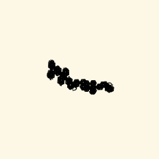 C1=C(c2ccc3c(c2)oc2ccc4cc(-c5c6ccccc6c(-c6ccc7c8ccccc8c8ccccc8c7c6)c6ccccc56)ccc4c23)c2ccc3ccc(-c4c5ccccc5c(-c5ccc6c(ccc7oc8ccccc8c76)c5)c5ccccc45)c4c3c2C(=CC4)C1